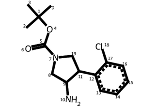 CC(C)(C)OC(=O)N1CC(N)C(c2ccccc2Cl)C1